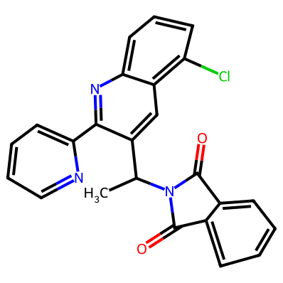 CC(c1cc2c(Cl)cccc2nc1-c1ccccn1)N1C(=O)c2ccccc2C1=O